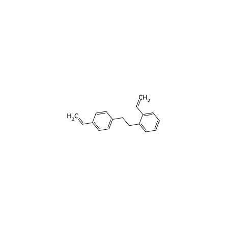 C=Cc1ccc(CCc2ccccc2C=C)cc1